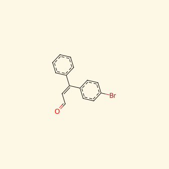 O=CC=C(c1ccccc1)c1ccc(Br)cc1